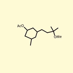 COC(C)(C)CCC1CC(C)CC(OC(C)=O)C1